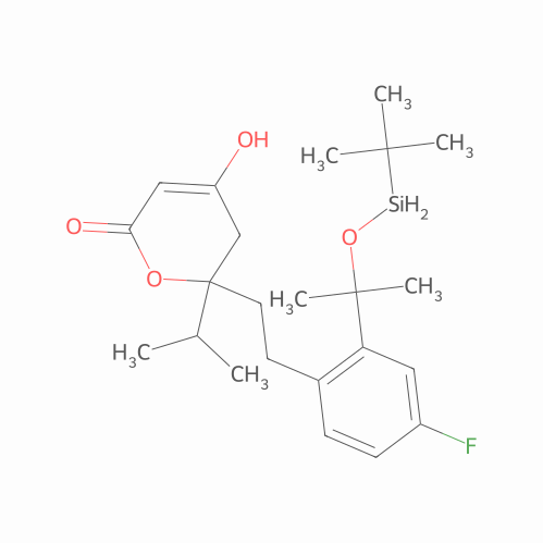 CC(C)C1(CCc2ccc(F)cc2C(C)(C)O[SiH2]C(C)(C)C)CC(O)=CC(=O)O1